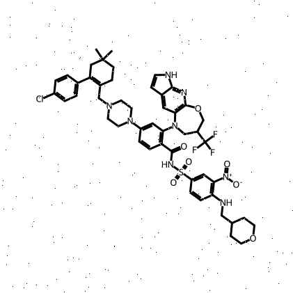 CC1(C)CCC(CN2CCN(c3ccc(C(=O)NS(=O)(=O)c4ccc(NCC5CCOCC5)c([N+](=O)[O-])c4)c(N4CC(C(F)(F)F)COc5nc6[nH]ccc6cc54)c3)CC2)=C(c2ccc(Cl)cc2)C1